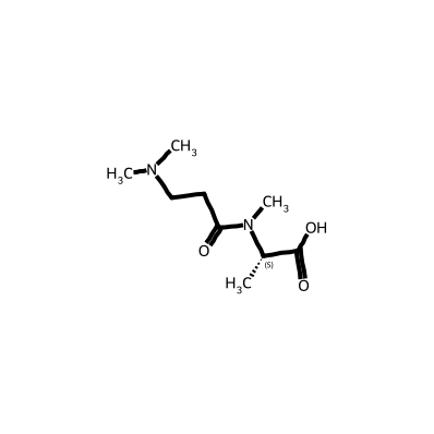 C[C@@H](C(=O)O)N(C)C(=O)CCN(C)C